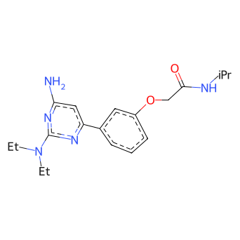 CCN(CC)c1nc(N)cc(-c2cccc(OCC(=O)NC(C)C)c2)n1